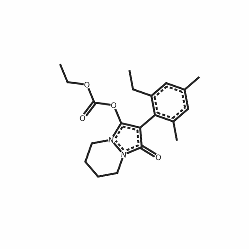 CCOC(=O)Oc1c(-c2c(C)cc(C)cc2CC)c(=O)n2n1CCCC2